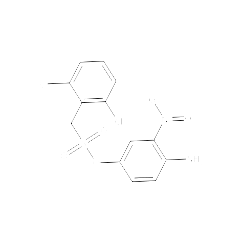 Nc1ccc(OS(=O)(=O)Cc2c(Cl)cccc2Cl)cc1[N+](=O)[O-]